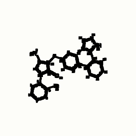 CCCc1cn(-c2ccccc2CC)c(=O)n1Cc1ccc(-c2cccnc2-c2nnn[nH]2)cc1